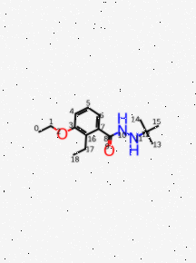 CCOc1cccc(C(=O)NNC(C)(C)C)c1CC